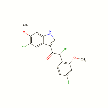 COc1cc2[nH]cc(C(=O)C(Br)c3ccc(F)cc3OC)c2cc1Cl